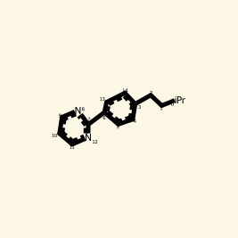 CC(C)CCc1ccc(-c2ncccn2)cc1